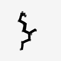 CCCN(C)C=CCN